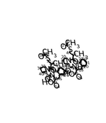 CC(=O)SCC(C)C(=O)N1CCC[C@H]1C(=O)N[C@@H](Cc1ccccc1)C(=O)O.CC(=O)SCC(C)C(=O)N1CCC[C@H]1C(=O)N[C@@H](Cc1ccccc1)C(=O)O